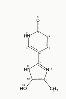 Cc1nc(-c2ccc(=O)[nH]c2)[nH]c1O